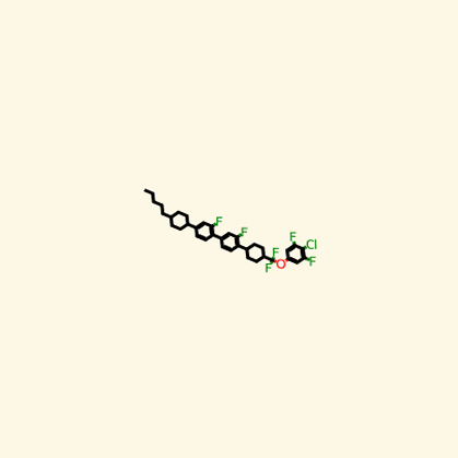 CCCCCC1CCC(c2ccc(-c3ccc(C4CCC(C(F)(F)Oc5cc(F)c(Cl)c(F)c5)CC4)c(F)c3)c(F)c2)CC1